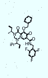 C=CC(C(C)C)N1CN([C@@H](C)C=C)C(=O)c2c(OCc3ccccc3)c(=O)c(C(=O)NCc3c(F)cc(F)cc3F)cn21